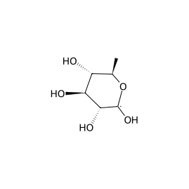 C[C@H]1O[C](O)[C@H](O)[C@@H](O)[C@@H]1O